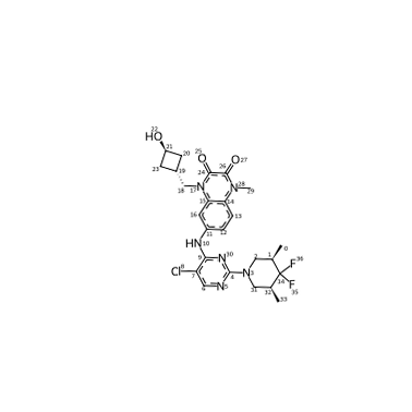 C[C@@H]1CN(c2ncc(Cl)c(Nc3ccc4c(c3)n(C[C@H]3C[C@H](O)C3)c(=O)c(=O)n4C)n2)C[C@H](C)C1(F)F